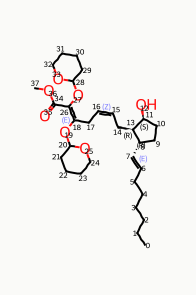 CCCCCC/C=C/[C@H]1CC[C@H](O)[C@@H]1C/C=C\C/C(OC1CCCCO1)=C(\OC1CCCCO1)C(=O)OC